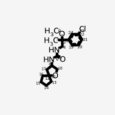 COC(C)(CNC(=O)NC1COC2(CCCC2)C1)c1cccc(Cl)c1